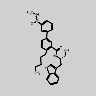 CCCCCc1ccc(-c2cccc([S+]([O-])NC)c2)cc1C(=O)N[C@H](CO)Cc1c[nH]c2ccccc12